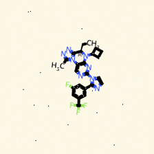 CC[C@@H]1c2nnc(C)n2-c2cnc(-n3ccnc3-c3cc(F)cc(C(F)(F)F)c3)nc2N1C1CCC1